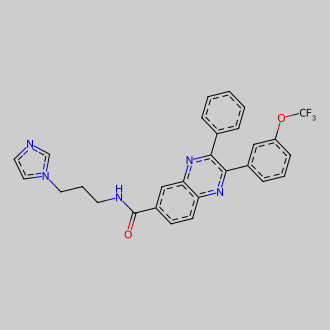 O=C(NCCCn1ccnc1)c1ccc2nc(-c3cccc(OC(F)(F)F)c3)c(-c3ccccc3)nc2c1